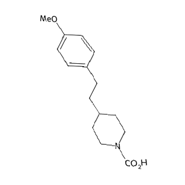 COc1ccc(CCC2CCN(C(=O)O)CC2)cc1